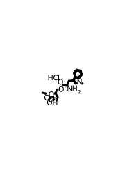 CCO[PH]1(O)OCC(COC(=O)[C@H](N)Cc2cn(C)c3ccccc23)O1.Cl